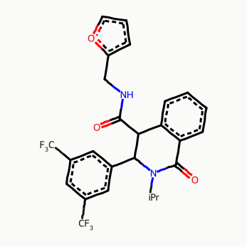 CC(C)N1C(=O)c2ccccc2C(C(=O)NCc2ccco2)C1c1cc(C(F)(F)F)cc(C(F)(F)F)c1